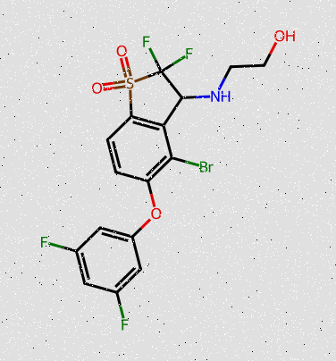 O=S1(=O)c2ccc(Oc3cc(F)cc(F)c3)c(Br)c2C(NCCO)C1(F)F